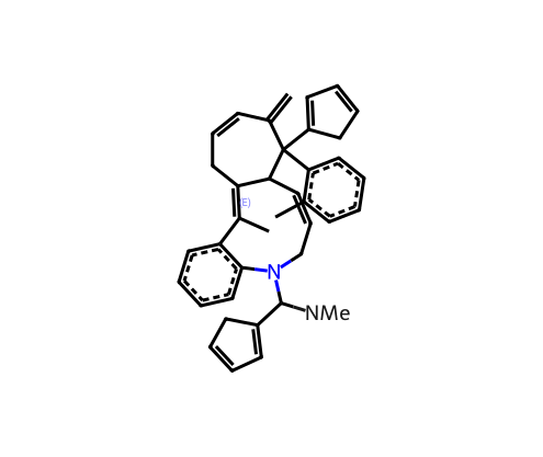 C=C1C=CC/C2=C(/C)c3ccccc3N(C(NC)C3=CC=CC3)CC=CC2C1(C1=CC=CC1)c1ccccc1C